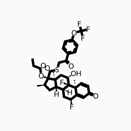 CCC(=O)O[C@]1(C(=O)SCC(=O)c2ccc(OC(F)(F)F)cc2)[C@H](C)C[C@H]2[C@@H]3C[C@H](F)C4=CC(=O)C=C[C@]4(C)[C@@]3(F)[C@@H](O)C[C@@]21C